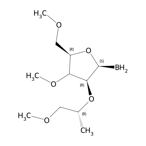 B[C@@H]1O[C@H](COC)C(OC)[C@@H]1O[C@H](C)COC